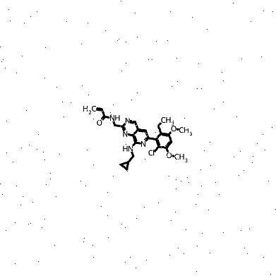 C=CC(=O)NCc1ncc2cc(-c3c(Cl)c(OC)cc(OC)c3CC)nc(NCC3CC3)c2n1